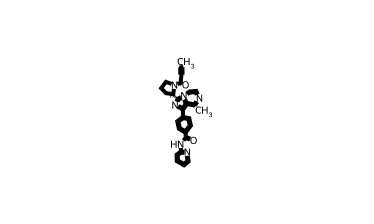 CC#CC(=O)N1CCC[C@H]1c1nc(-c2ccc(C(=O)Nc3ccccn3)cc2)c2c(C)nccn12